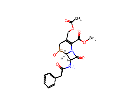 BOC(=O)C1=C(COC(C)=O)C[S+]([O-])[C@@H]2[C@H](NC(=O)Cc3ccccc3)C(=O)N12